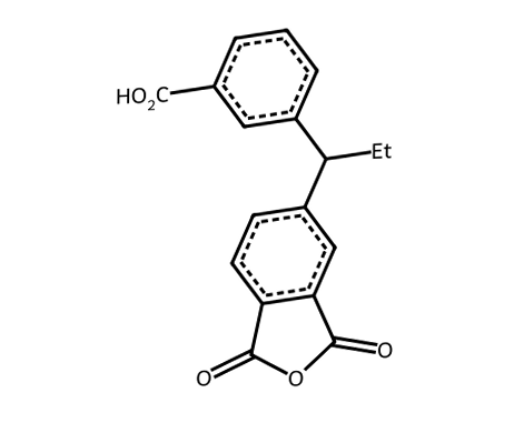 CCC(c1cccc(C(=O)O)c1)c1ccc2c(c1)C(=O)OC2=O